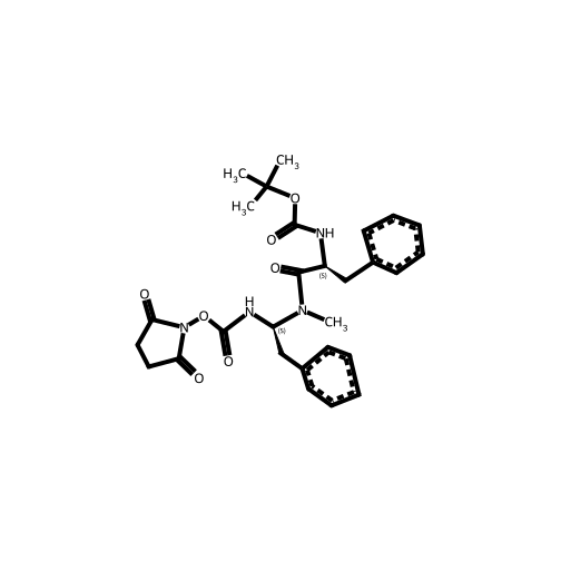 CN(C(=O)[C@H](Cc1ccccc1)NC(=O)OC(C)(C)C)[C@@H](Cc1ccccc1)NC(=O)ON1C(=O)CCC1=O